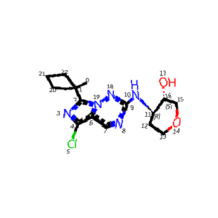 CC1(c2nc(Cl)c3cnc(N[C@@H]4CCOC[C@H]4O)nn23)CCC1